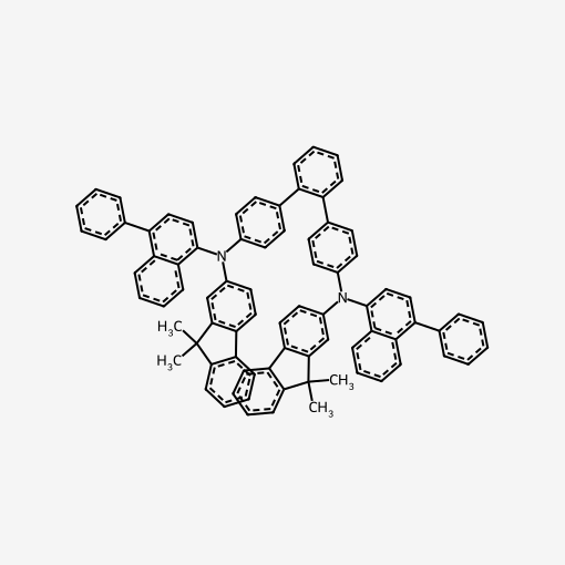 CC1(C)c2ccccc2-c2ccc(N(c3ccc(-c4ccccc4-c4ccc(N(c5ccc6c(c5)C(C)(C)c5ccccc5-6)c5ccc(-c6ccccc6)c6ccccc56)cc4)cc3)c3ccc(-c4ccccc4)c4ccccc34)cc21